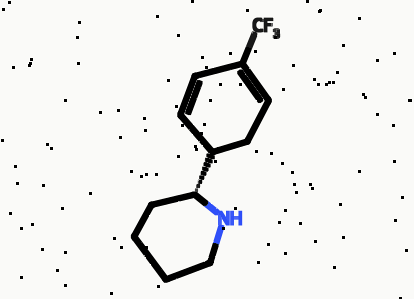 FC(F)(F)C1=CCC([C@H]2CCCCN2)C=C1